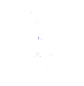 COc1cccc(NC(=O)c2ccc(-c3cccc(OCF)c3)nc2)c1